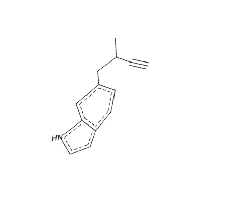 C#CC(C)Cc1ccc2cc[nH]c2c1